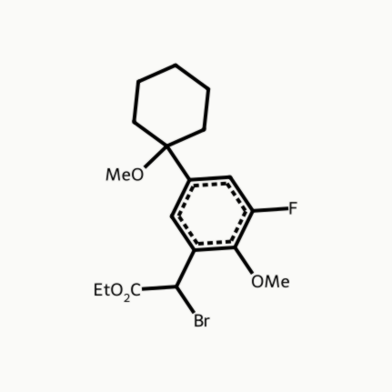 CCOC(=O)C(Br)c1cc(C2(OC)CCCCC2)cc(F)c1OC